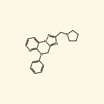 c1ccc(N2Cc3nc(CN4CCCC4)nn3-c3cccnc32)cc1